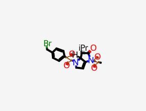 CC(C)[C@H]1C(=O)N(S(C)(=O)=O)C2=CCN(S(=O)(=O)c3ccc(CBr)cc3)[C@@H]21